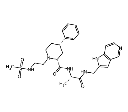 C[C@H](NC(=O)[C@H]1C[C@@H](c2ccccc2)CCN1CCNS(C)(=O)=O)C(=O)NCc1cc2cnccc2[nH]1